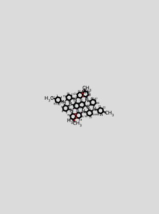 Cc1ccc(N2c3cccc4c3B3c5c2cccc5N(c2ccc(C)cc2)c2c3c(cc3c5c6c(cc23)N(c2ccc(C)cc2)c2cccc3c2B6c2c(cccc2N5c2ccc(C)cc2)N3c2ccc(C)cc2)N4c2ccc(C)cc2)cc1